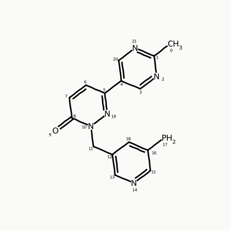 Cc1ncc(-c2ccc(=O)n(Cc3cncc(P)c3)n2)cn1